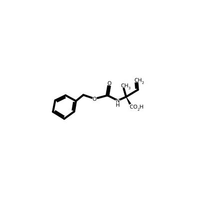 C=C[C@@](C)(NC(=O)OCc1ccccc1)C(=O)O